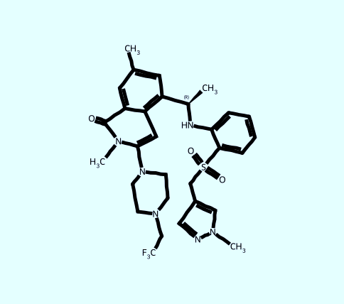 Cc1cc([C@@H](C)Nc2ccccc2S(=O)(=O)Cc2cnn(C)c2)c2cc(N3CCN(CC(F)(F)F)CC3)n(C)c(=O)c2c1